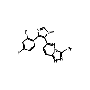 CC(C)c1nnc2ccc(-c3c(-c4ccc(F)cc4F)ncn3C)nn12